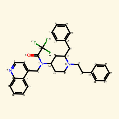 O=C(N(Cc1ccnc2ccccc12)C1CCN(CCc2ccccc2)C(Cc2ccccc2)C1)C(F)(F)F